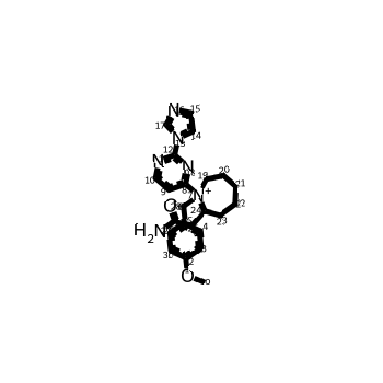 COc1ccc(C[N+]2(c3ccnc(-n4ccnc4)n3)CCCCCC2CC(N)=O)cc1